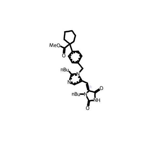 CCCCc1ncc(/C=C2/C(=O)NC(=O)N2CCCC)n1Cc1ccc(C2(C(=O)OC)CCCCC2)cc1